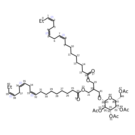 CC/C=C\C/C=C\C/C=C\CCCCCCCC(=O)OCC(COC(=O)CCCCCCC/C=C\C/C=C\C/C=C\CC)CO[C@@H]1O[C@H](COC(C)=O)[C@H](OC(C)=O)[C@H](OC(C)=O)[C@H]1OC(C)=O